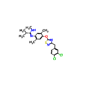 CNC(=Nc1cc(C)c(Oc2nc(Cc3ccc(Cl)c(Cl)c3)ns2)cc1C)C(C)C